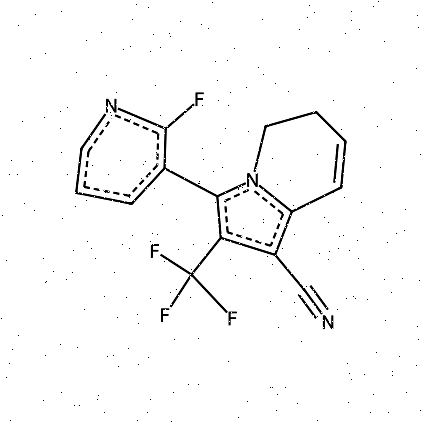 N#Cc1c(C(F)(F)F)c(-c2cccnc2F)n2c1C=CCC2